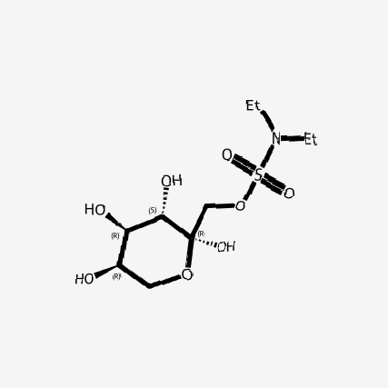 CCN(CC)S(=O)(=O)OC[C@@]1(O)OC[C@@H](O)[C@@H](O)[C@@H]1O